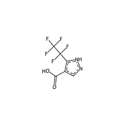 O=C(O)c1cn[nH]c1C(F)(F)C(F)(F)F